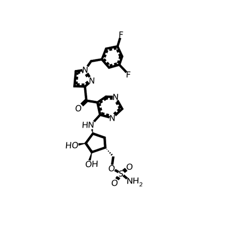 NS(=O)(=O)OC[C@H]1C[C@@H](Nc2ncncc2C(=O)c2ccn(Cc3cc(F)cc(F)c3)n2)[C@H](O)[C@@H]1O